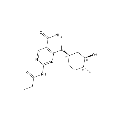 C=C(CC)Nc1ncc(C(N)=O)c(N[C@@H]2CC[C@@H](C)[C@H](O)C2)n1